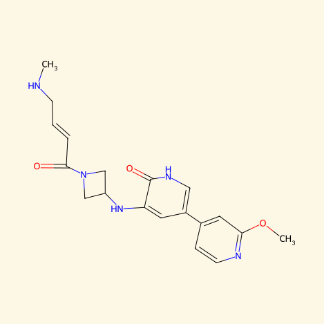 CNCC=CC(=O)N1CC(Nc2cc(-c3ccnc(OC)c3)c[nH]c2=O)C1